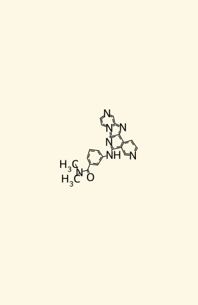 CN(C)C(=O)c1cccc(Nc2nc3c(nc4cnccn43)c3ccncc23)c1